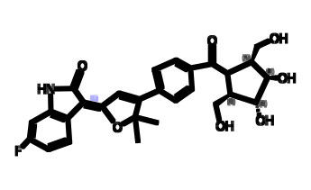 CC1(C)O/C(=C2/C(=O)Nc3cc(F)ccc32)C=C1c1ccc(C(=O)C2[C@@H](CO)[C@@H](O)[C@H](O)[C@H]2CO)cc1